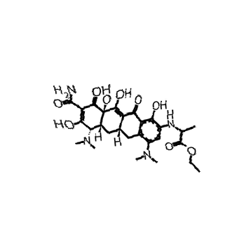 CCOC(=O)C(C)Nc1cc(N(C)C)c2c(c1O)C(=O)C1=C(O)[C@@]3(O)C(=O)C(C(N)=O)=C(O)[C@@H](N(C)C)[C@H]3C[C@H]1C2